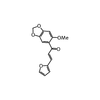 COc1cc2c(cc1C(=O)C=Cc1ccco1)OCO2